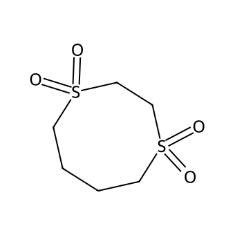 O=S1(=O)CCCCS(=O)(=O)CC1